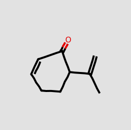 C=C(C)C1CCC=CC1=O